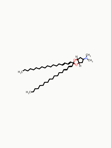 CCCCCCCCCCCCCCC=CC=CC1(C=CC=CCCCCCCCCCCCCCC)O[C@H]2CC(N(C)C)C[C@H]2O1